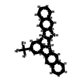 FC(F)(F)c1cc2c3cc4ccccc4cc3n3c2c(c1)n1c2cc4ccccc4cc2nc13